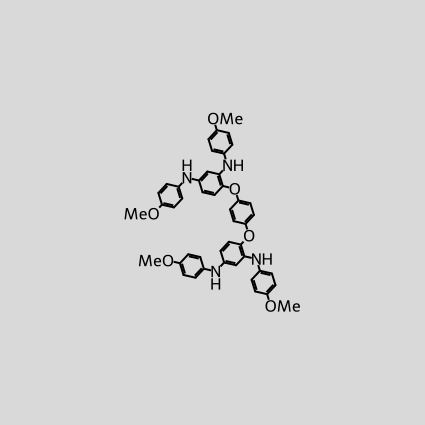 COc1ccc(Nc2ccc(Oc3ccc(Oc4ccc(Nc5ccc(OC)cc5)cc4Nc4ccc(OC)cc4)cc3)c(Nc3ccc(OC)cc3)c2)cc1